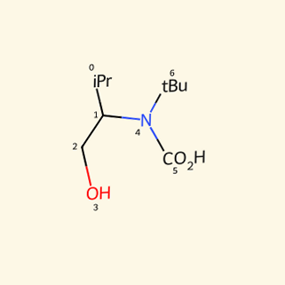 CC(C)C(CO)N(C(=O)O)C(C)(C)C